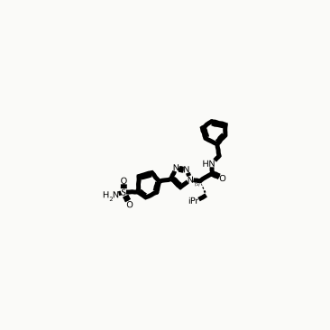 CC(C)C[C@@H](C(=O)NCc1ccccc1)n1cc(-c2ccc(S(N)(=O)=O)cc2)nn1